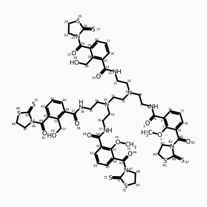 COc1c(C(=O)NCCN(CCNC(=O)c2cccc(C(=O)N3CCSC3=S)c2CO)CCN(CCNC(=O)c2cccc(C(=O)N3CCSC3=S)c2CO)CCNC(=O)c2cccc(C(=O)N3CCSC3=S)c2OC)cccc1C(=O)N1CCSC1=S